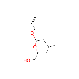 C=CCOC1CC(C)CC(CO)O1